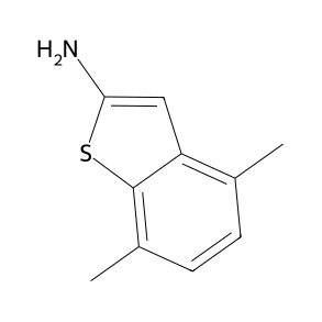 Cc1ccc(C)c2sc(N)cc12